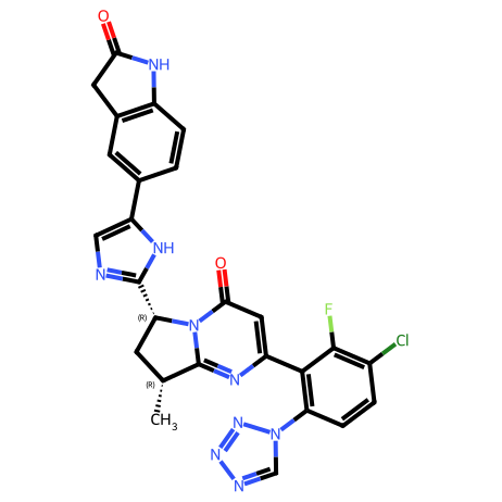 C[C@@H]1C[C@H](c2ncc(-c3ccc4c(c3)CC(=O)N4)[nH]2)n2c1nc(-c1c(-n3cnnn3)ccc(Cl)c1F)cc2=O